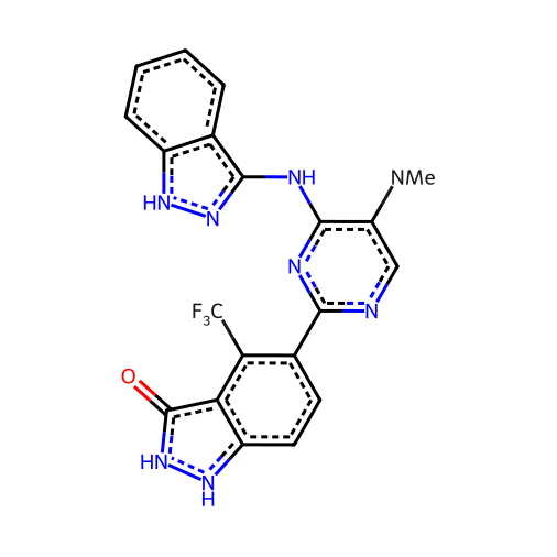 CNc1cnc(-c2ccc3[nH][nH]c(=O)c3c2C(F)(F)F)nc1Nc1n[nH]c2ccccc12